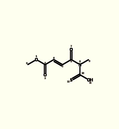 COC(=O)C=CC(=O)N(C)C(O)=S